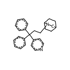 c1ccc(C(CCN2CC3CCC2CC3)(c2ccccc2)c2ccncc2)cc1